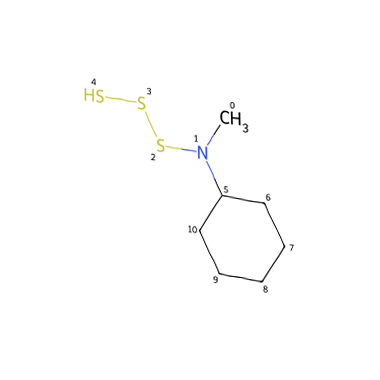 CN(SSS)C1CCCCC1